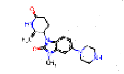 C=C1NC(=O)CCC1n1c(=O)n(C)c2cc(N3CCNCC3)ccc21